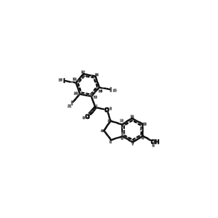 O=C(OC1CCc2cc(O)ccc21)c1c(I)ccc(I)c1I